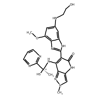 COc1cc(NCCO)cc2[nH]c(-c3c(N[C@@](C)(S)c4ncccn4)c4nn(C)cc4[nH]c3=O)nc12